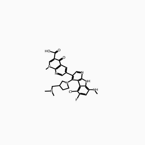 CNc1cc(F)c(Cl)c2c1[nH]c1ncc(-c3cnc4c(c3)c(=O)c(C(=O)O)cn4C)c(N3CCC(CN(C)C)C3)c12